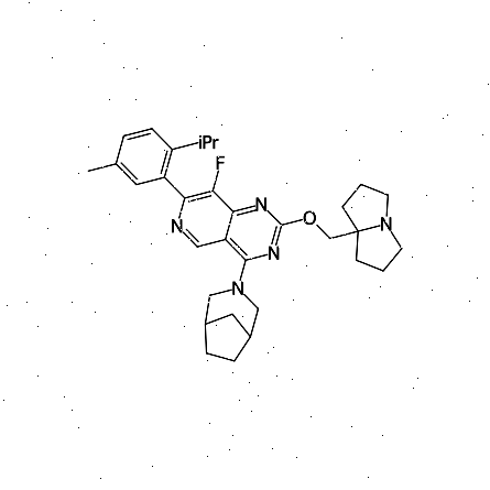 Cc1ccc(C(C)C)c(-c2ncc3c(N4CC5CCC(C5)C4)nc(OCC45CCCN4CCC5)nc3c2F)c1